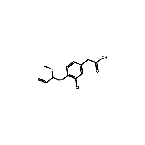 C=CC(Oc1ccc(CC(=O)O)cc1Cl)SC